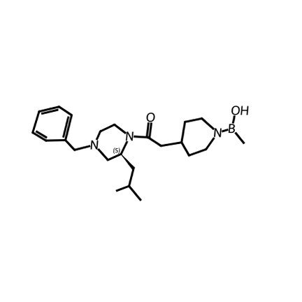 CB(O)N1CCC(CC(=O)N2CCN(Cc3ccccc3)C[C@@H]2CC(C)C)CC1